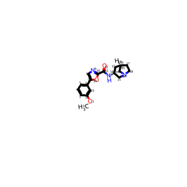 COc1cccc(-c2cnc(C(=O)N[C@@H]3C[C@H]4CCN(C4)C3)o2)c1